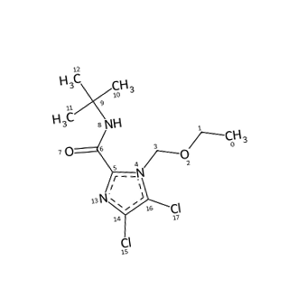 CCOCn1c(C(=O)NC(C)(C)C)nc(Cl)c1Cl